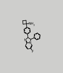 NC1(c2ccc(C3N=C4C=CC(F)=CN4C3c3ccccc3)cc2)CCC1